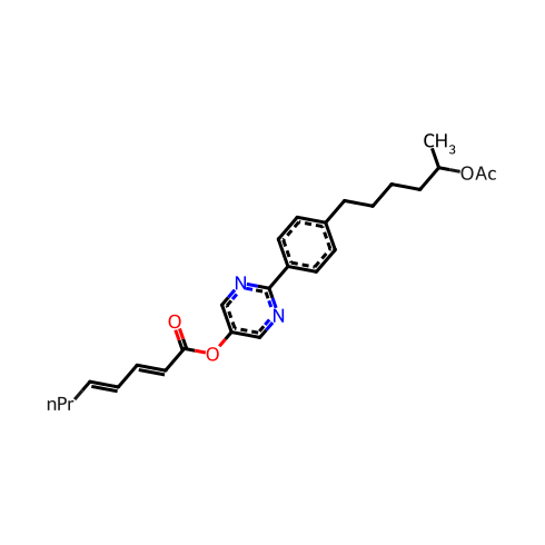 CCCC=CC=CC(=O)Oc1cnc(-c2ccc(CCCCC(C)OC(C)=O)cc2)nc1